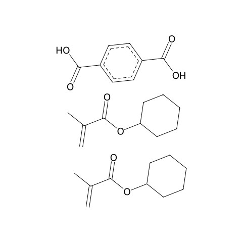 C=C(C)C(=O)OC1CCCCC1.C=C(C)C(=O)OC1CCCCC1.O=C(O)c1ccc(C(=O)O)cc1